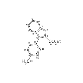 CCOC(=O)c1cc2ccccn2c1-c1ccc(C)nn1